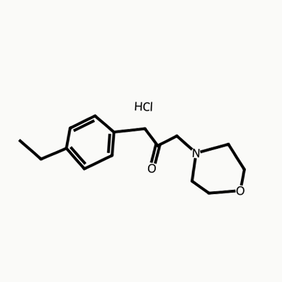 CCc1ccc(CC(=O)CN2CCOCC2)cc1.Cl